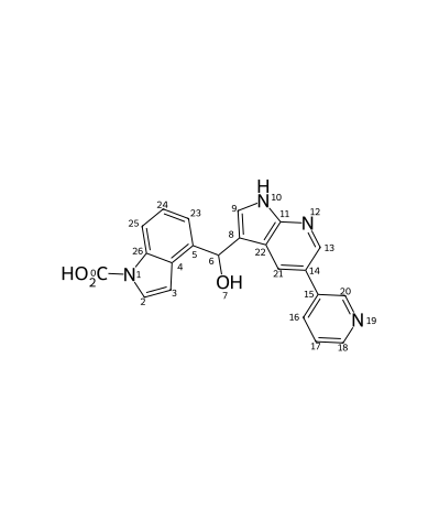 O=C(O)n1ccc2c(C(O)c3c[nH]c4ncc(-c5cccnc5)cc34)cccc21